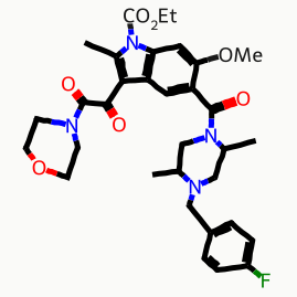 CCOC(=O)n1c(C)c(C(=O)C(=O)N2CCOCC2)c2cc(C(=O)N3CC(C)N(Cc4ccc(F)cc4)CC3C)c(OC)cc21